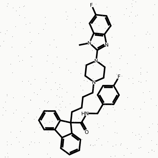 Cn1c(N2CCN(CCCCC3(C(=O)NCc4ccc(F)cc4)c4ccccc4-c4ccccc43)CC2)nc2ccc(F)cc21